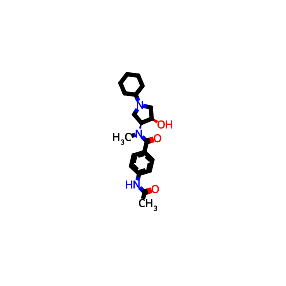 CC(=O)Nc1ccc(C(=O)N(C)[C@@H]2CN(C3CCCCC3)C[C@H]2O)cc1